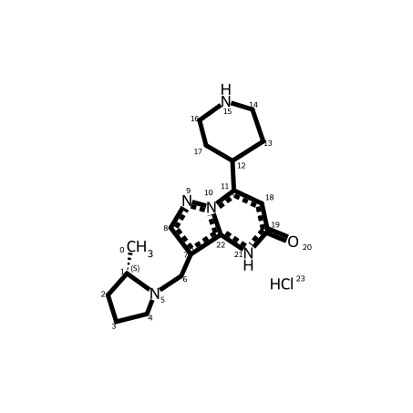 C[C@H]1CCCN1Cc1cnn2c(C3CCNCC3)cc(=O)[nH]c12.Cl